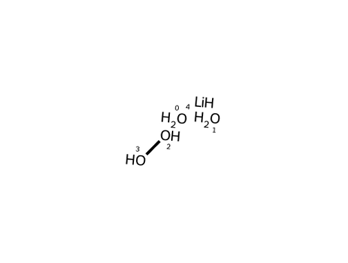 O.O.OO.[LiH]